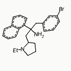 CCN1CCCC1CC(N)(Cc1cccc(Br)c1)c1cccc2ccccc12